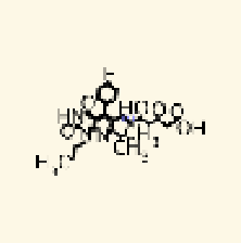 CCCCn1c(=O)[nH]c(=O)c2c(-c3ccc(F)cc3)c(/C=C/C(O)CC(=O)CC(=O)O)c(C(C)C)nc21